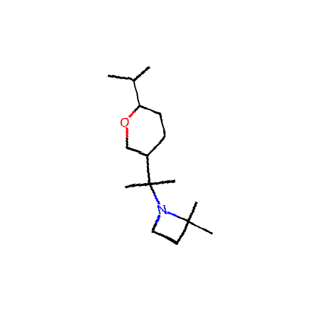 CC(C)C1CCC(C(C)(C)N2CCC2(C)C)CO1